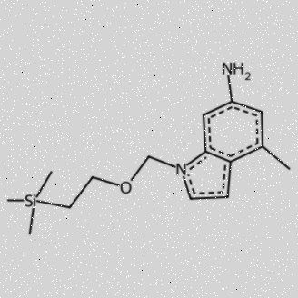 Cc1cc(N)cc2c1ccn2COCC[Si](C)(C)C